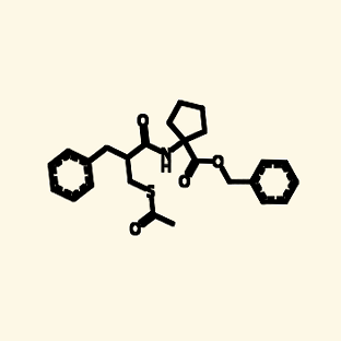 CC(=O)SCC(Cc1ccccc1)C(=O)NC1(C(=O)OCc2ccccc2)CCCC1